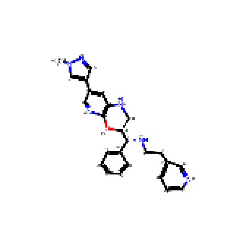 Cn1cc(-c2cnc3c(c2)NC[C@@H]([C@H](NCCc2cccnc2)c2ccccc2)O3)cn1